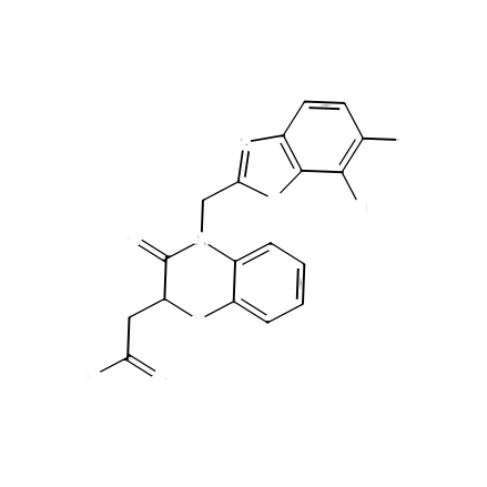 O=C(O)CC1Sc2ccccc2N(Cc2nc3ccc(Cl)c(Cl)c3s2)C1=O